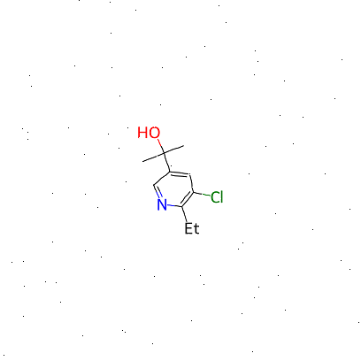 CCc1ncc(C(C)(C)O)cc1Cl